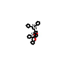 c1ccc(-c2cc(-c3ccc(-c4cccc5c4C4(Cc6ccccc6-5)c5ccccc5Sc5ccccc54)cc3)nc(-c3ccccc3)n2)cc1